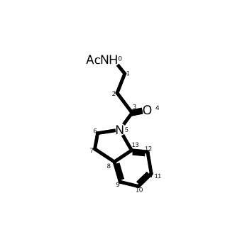 CC(=O)NCCC(=O)N1CCc2cc[c]cc21